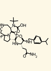 CC(C)c1ccc(CNC(=O)[C@H](CCC(N)=O)NC(=O)[C@@H]2CC[C@@H]3CCNC[C@H](N(C(=O)O)C(C)(C)C)C(=O)N32)cc1